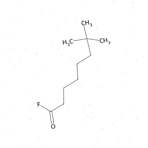 CC(C)(C)CCCCCC(=O)F